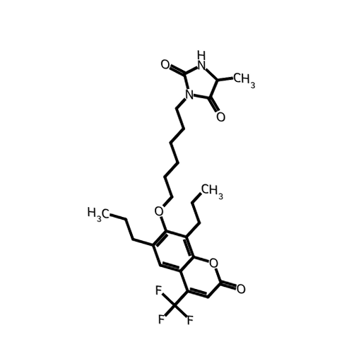 CCCc1cc2c(C(F)(F)F)cc(=O)oc2c(CCC)c1OCCCCCCN1C(=O)NC(C)C1=O